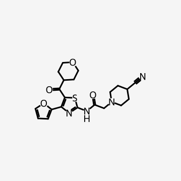 N#CC1CCN(CC(=O)Nc2nc(-c3ccco3)c(C(=O)C3CCOCC3)s2)CC1